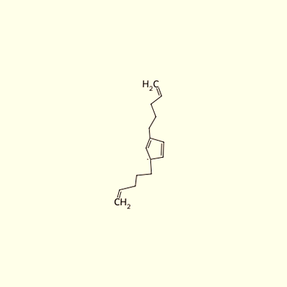 C=CCCC[C]1C=CC(CCCC=C)=C1